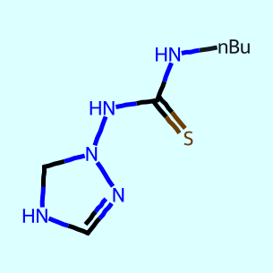 CCCCNC(=S)NN1CNC=N1